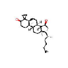 CC(C)CCC[C@@H](C)[C@H]1CC(=O)[C@H]2[C@@H]3CC=C4C5(CC5)C(=O)CC[C@]4(C)[C@H]3CC[C@]12C